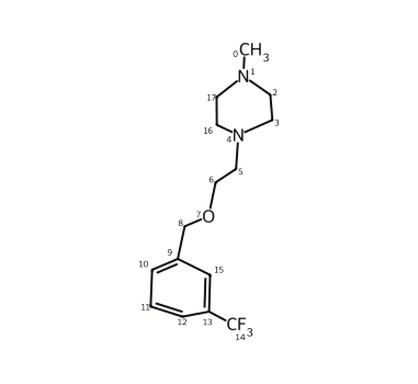 CN1CCN(CCOCc2cccc(C(F)(F)F)c2)CC1